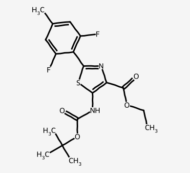 CCOC(=O)c1nc(-c2c(F)cc(C)cc2F)sc1NC(=O)OC(C)(C)C